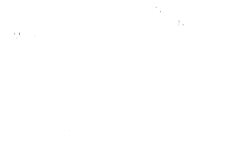 COc1ccc(-c2n[nH]cc2CC2CCCCC2)cc1OC1CCCO1